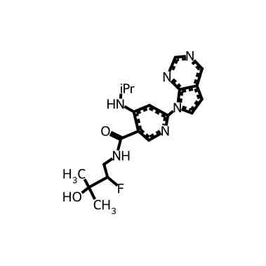 CC(C)Nc1cc(-n2ccc3cncnc32)ncc1C(=O)NCC(F)C(C)(C)O